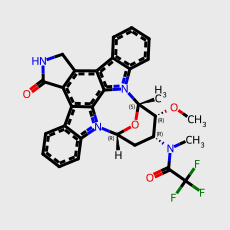 CO[C@@H]1[C@H](N(C)C(=O)C(F)(F)F)C[C@H]2O[C@]1(C)n1c3ccccc3c3c4c(c5c6ccccc6n2c5c31)C(=O)NC4